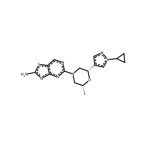 C[C@@H]1CN(c2ncc3sc(N)nc3n2)C[C@H](c2cnn(C3CC3)c2)O1